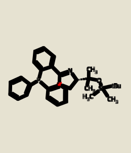 CC(C)(O[Si](C)(C)C(C)(C)C)[C@@H]1COC(c2ccccc2P(c2ccccc2)c2ccccc2)=N1